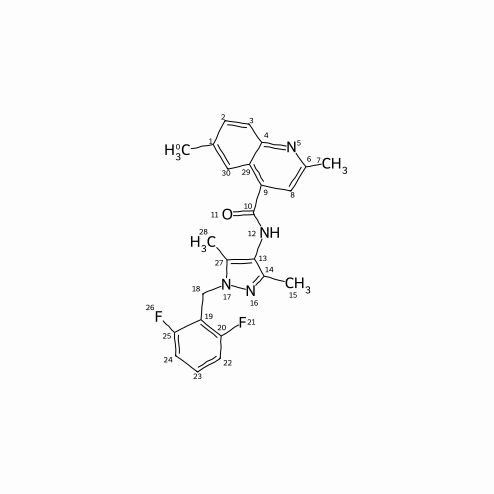 Cc1ccc2nc(C)cc(C(=O)Nc3c(C)nn(Cc4c(F)cccc4F)c3C)c2c1